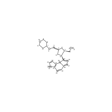 CC[C@@H]1C/C(=N/OC2CCOCC2)C[C@@H]1c1nnc2cnc3[nH]ccc3n12